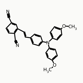 COc1ccc(N(c2ccc(C=Cc3cc(C#N)ccc3C#N)cc2)c2ccc(OC)cc2)cc1